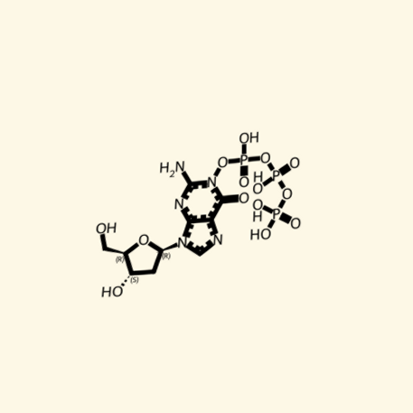 Nc1nc2c(ncn2[C@H]2C[C@H](O)[C@@H](CO)O2)c(=O)n1OP(=O)(O)OP(=O)(O)OP(=O)(O)O